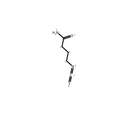 NC(=O)CCCN=C=S